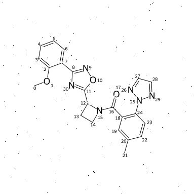 COc1ccccc1-c1noc(C2CCN2C(=O)c2cc(C)ccc2-n2nccn2)n1